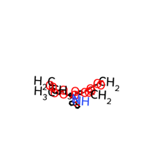 C=CC(=O)OCCCCOCC(COc1ccc(C(=O)Oc2ccc(CCOC(=O)c3ccc(OC(C)(C)COC(=O)C=C)cc3)cc2/C=N/NC2C3C=CC=CC3C3C=CC=CC32)cc1)OC(=O)C=C